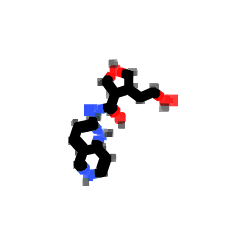 O=C(Nc1ccc2cnccc2n1)C1COCC1CCO